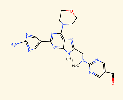 CN(Cc1nc2c(N3CCOCC3)nc(-c3cnc(N)nc3)nc2n1C)c1ncc(C=O)cn1